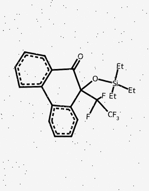 CC[Si](CC)(CC)OC1(C(F)(F)C(F)(F)F)C(=O)c2ccccc2-c2ccccc21